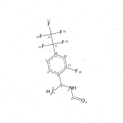 CC(NC=O)c1ccc(C(F)(F)C(F)(F)F)cc1F